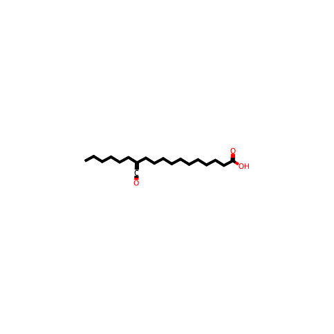 CCCCCCC(=C=O)CCCCCCCCCCC(=O)O